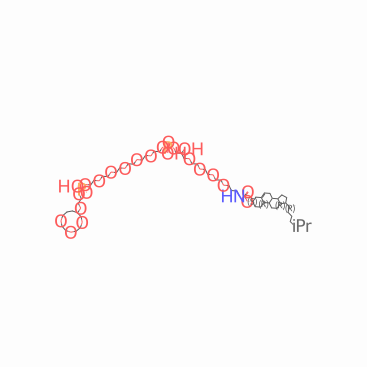 CC(C)CCC[C@@H](C)C1CCC2C3CC=C4C[C@@H](OC(=O)NCCCOCCOCCOCCOCC(O)COP(=O)(O)OCCOCCOCCOCCOCCOCCOP(=O)(O)OCCOC5CCCOCCOCCOC5)CC[C@]4(C)C3CC[C@@]21C